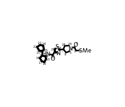 CSCC(=O)N1CCC(c2nc(C(=O)Nc3ccccc3-c3ccccc3)cs2)CC1